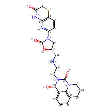 O=C1CSc2ccc(N3C[C@H](CNCCn4c(=O)c5cccc6c5n(c4=O)CCC6)OC3=O)nc2N1